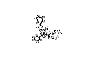 CSCC[C@H](NC(=O)C(SC(=O)c1ccccc1)SC(=O)c1ccccc1)C(=O)O